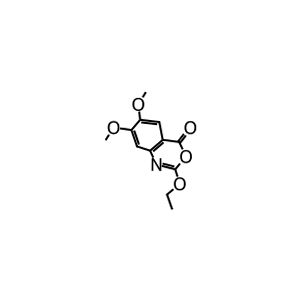 CCOc1nc2cc(OC)c(OC)cc2c(=O)o1